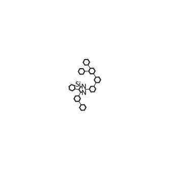 C[Si]1(C)c2ccccc2-c2c(-c3cccc(-c4ccccc4)c3)nc(-c3cccc(-c4cccc(-c5ccc(-c6ccccc6)c(-c6ccccc6)c5)c4)c3)nc21